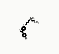 C=CCN(C)CCCCOc1ccc2c(-c3ccc(Br)cc3)csc2c1